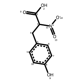 O=C(O)C(Cc1ccc(O)cc1)[N+](=O)[O-]